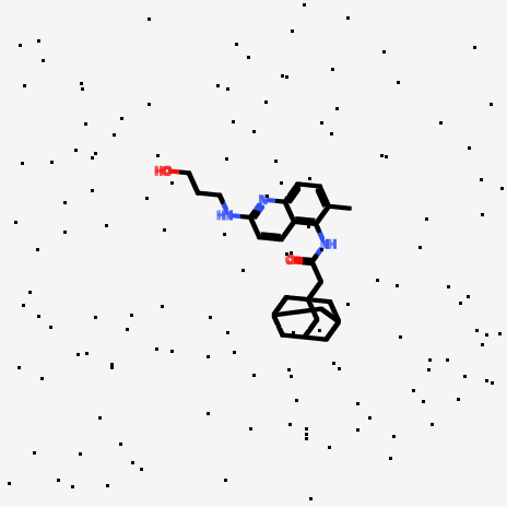 Cc1ccc2nc(NCCCO)ccc2c1NC(=O)CC12CC3CC(CC(C3)C1)C2